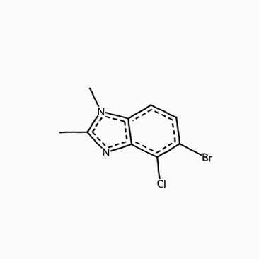 Cc1nc2c(Cl)c(Br)ccc2n1C